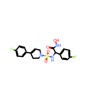 O=C(NO)C(NS(=O)(=O)N1CC=C(c2ccc(F)cc2)CC1)c1ccc(F)cc1